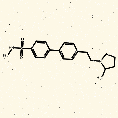 CC1CCCN1CCc1ccc(-c2ccc(S(=O)(=O)NC(C)(C)C)cc2)cc1